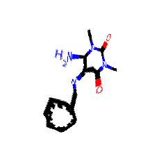 CN1C(=O)/C(=N\Cc2ccccc2)C(N)N(C)C1=O